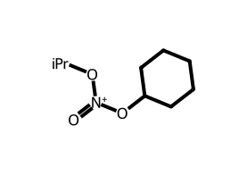 CC(C)O[N+](=O)OC1CCCCC1